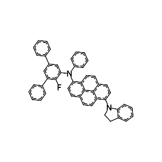 Fc1c(-c2ccccc2)cc(-c2ccccc2)cc1N(c1ccccc1)c1ccc2ccc3c(N4CCc5ccccc54)ccc4ccc1c2c43